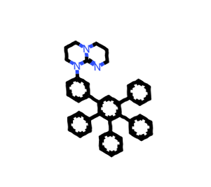 c1ccc(-c2cc(-c3cccc(N4CCCN5CCCN=C54)c3)c(-c3ccccc3)c(-c3ccccc3)c2-c2ccccc2)cc1